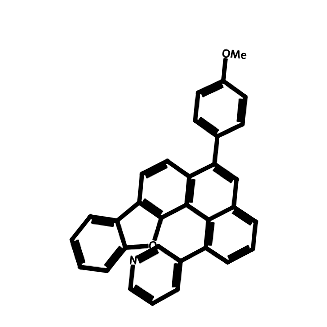 COc1ccc(-c2cc3cccc(-c4cccnc4)c3c3c2ccc2c4ccccc4oc23)cc1